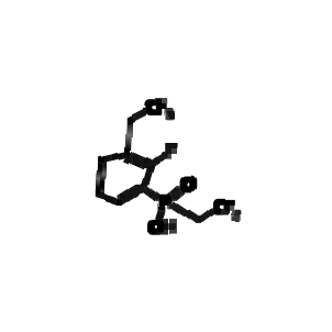 O=P(O)(CC(F)(F)F)c1cccc(CC(F)(F)F)c1F